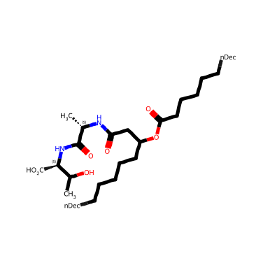 CCCCCCCCCCCCCCCC(=O)OC(CCCCCCCCCCCCCCC)CC(=O)N[C@@H](C)C(=O)N[C@H](C(=O)O)C(C)O